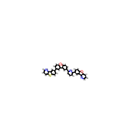 c1cc(-c2ccc3oc4ccc(-c5ccc6sc7cccnc7c6c5)cc4c3c2)nc(-c2ccc3oc4cccnc4c3c2)c1